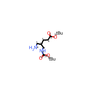 CC(C)(C)OC(=O)CCC(CN)CNC(=O)OC(C)(C)C